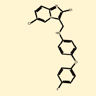 CCc1nc2ccc(Cl)cn2c1CNc1ccc(Oc2ccc(F)cc2)cc1